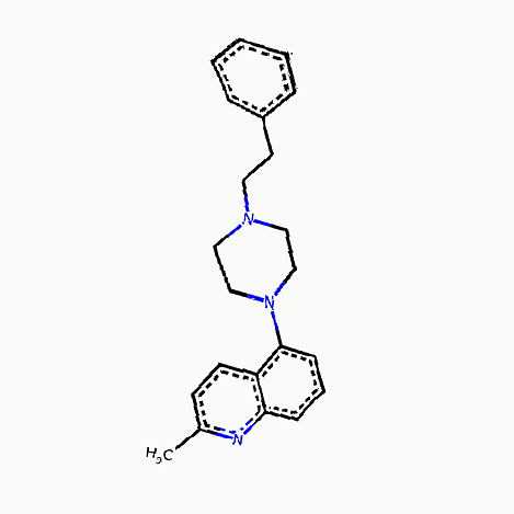 Cc1ccc2c(N3CCN(CCc4c[c]ccc4)CC3)cccc2n1